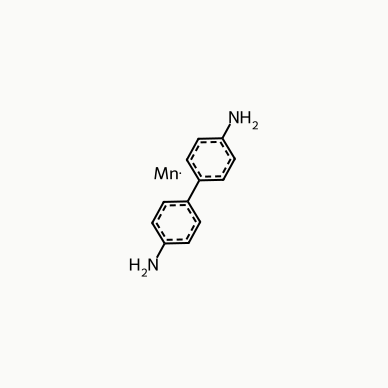 Nc1ccc(-c2ccc(N)cc2)cc1.[Mn]